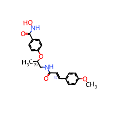 COc1ccc(/C=C/C(=O)NC[C@@H](C)Oc2ccc(C(=O)NO)cc2)cc1